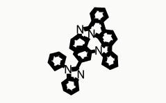 c1ccc(-n2c(-c3cccc(-n4c5ccccc5c5ccc6c7ccccc7c7nc8ccccc8n7c6c54)c3)nc3ccccc32)cc1